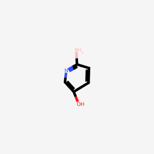 Bc1ccc(O)cn1